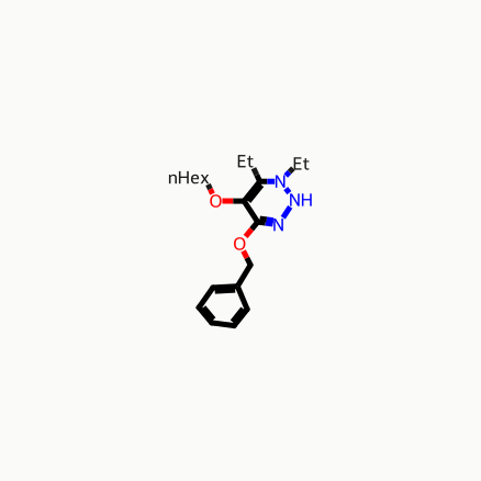 CCCCCCOC1=C(CC)N(CC)NN=C1OCc1ccccc1